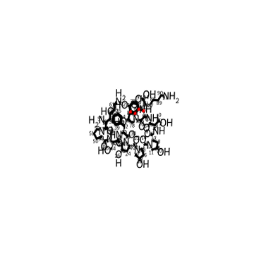 C[C@@H](O)[C@H](NC(=O)[C@@H]1C[C@@H](O)CN1C(=O)[C@@H]1C[C@@H](O)CN1C(=O)[C@@H]1C[C@@H](O)CN1C(=O)[C@H](Cc1ccc(O)cc1)NC(=O)[C@H](CO)NC(=O)[C@@H]1CCCN1C(=O)[C@@H](N)CCCCN)C(=O)N[C@@H](Cc1ccc(O)cc1)C(=O)N1C[C@H](O)C[C@H]1C(=O)N[C@@H](CCCCN)C(=O)O